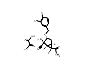 N#C[C@@]1(N)[C@H]2[C@@H](C[C@H]1OCc1ccc(Cl)c(Cl)c1)[C@]2(F)C(N)=O.O=C(O)C(=O)O